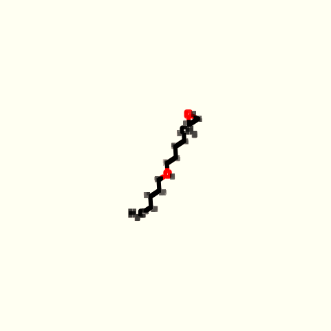 C1CO1.CCCCCOCCCCC